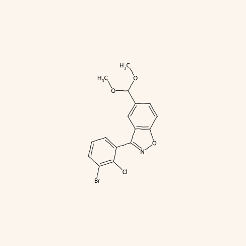 COC(OC)c1ccc2onc(-c3cccc(Br)c3Cl)c2c1